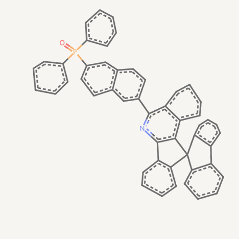 O=P(c1ccccc1)(c1ccccc1)c1ccc2cc(-c3nc4c(c5ccccc35)C3(c5ccccc5-c5ccccc53)c3ccccc3-4)ccc2c1